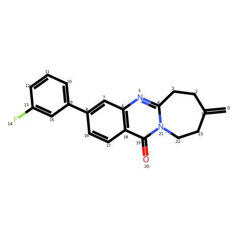 C=C1CCc2nc3cc(-c4cccc(F)c4)ccc3c(=O)n2CC1